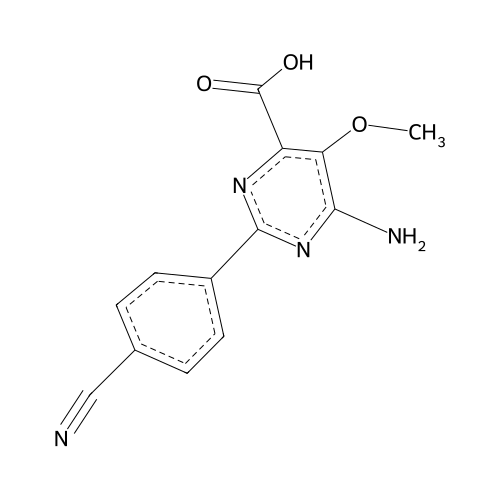 COc1c(N)nc(-c2ccc(C#N)cc2)nc1C(=O)O